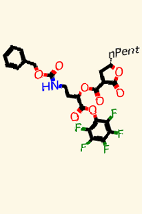 CCCCC[C@H]1CC(C(=O)OC(CCNC(=O)OCc2ccccc2)C(=O)Oc2c(F)c(F)c(F)c(F)c2F)C(=O)O1